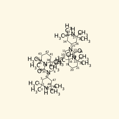 CC1(C)CC(N(CCCCCCN(C(=O)N2C(C)(C)CCCC2(C)C)C2CC(C)(C)NC(C)(C)C2)C(=O)N2C(C)(C)CCCC2(C)C)CC(C)(C)N1